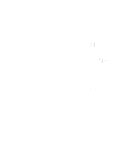 CCC(=N)C(C(=O)C(=O)C1CCCCC1)C(=S)OCCc1ccccc1